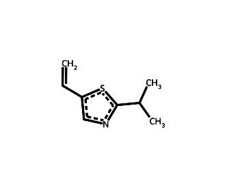 C=Cc1cnc(C(C)C)s1